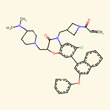 C=CC(=O)N1CC(CN2C(=O)C(CN3CCC(N(C)C)CC3)Oc3cc(-c4cc(Oc5ccccc5)cc5ccccc45)c(Cl)cc32)C1